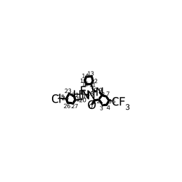 O=c1c2ccc(C(F)(F)F)cc2nc(-c2ccccc2F)n1NCc1ccc(Cl)cc1